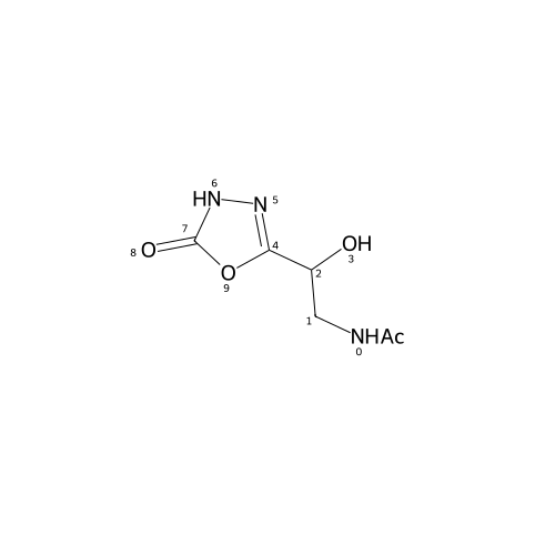 CC(=O)NCC(O)c1n[nH]c(=O)o1